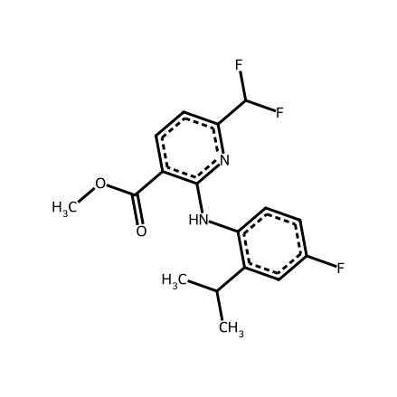 COC(=O)c1ccc(C(F)F)nc1Nc1ccc(F)cc1C(C)C